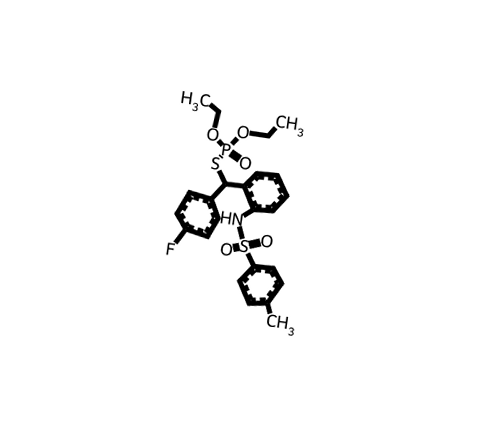 CCOP(=O)(OCC)SC(c1ccc(F)cc1)c1ccccc1NS(=O)(=O)c1ccc(C)cc1